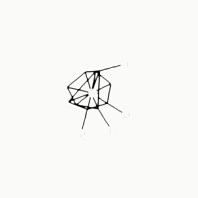 CC[C]12[CH]3[CH]4[CH]5[C]1(CC)[Fe]43521678[CH]2[CH]1[C]6(CC)[C]7(CC)[CH]28